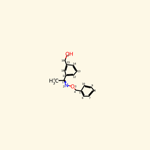 CC(=NOCc1ccccc1)c1cccc(CO)c1